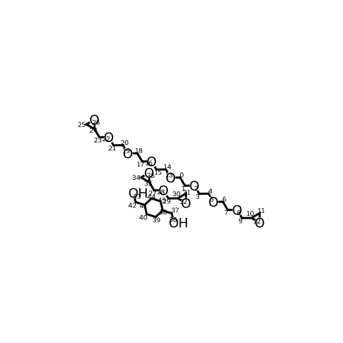 C(COCCOCCOCC1CO1)OCCOCCOCCOCC1CO1.C(OCC1CO1)C1CO1.OCC1CCC(CO)CC1